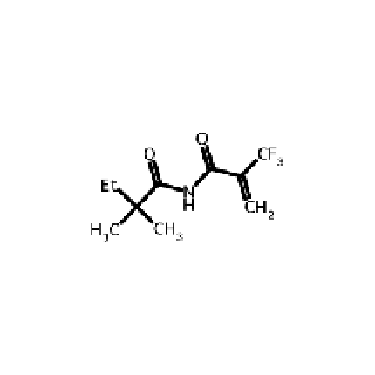 C=C(C(=O)NC(=O)C(C)(C)CC)C(F)(F)F